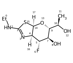 CCNC1=N[C@@H]2[C@@H](F)[C@H](O)[C@@H]([C@@H](C)O)O[C@@H]2S1